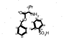 CC(C)[C@H](N)C(=O)OCc1ccccc1.Cc1ccccc1S(=O)(=O)O